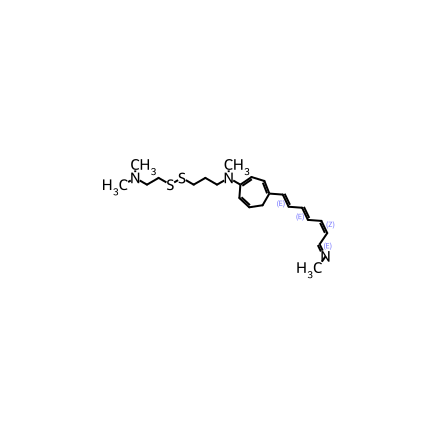 C/N=C/C=C\C=C\C=C\C1=CC=C(N(C)CCCSSCCN(C)C)C=CC1